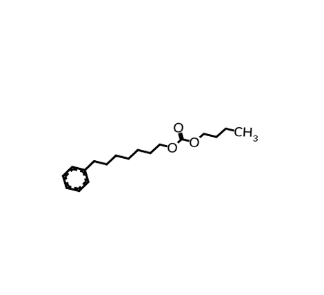 CCCCOC(=O)OCCCCCCCc1ccccc1